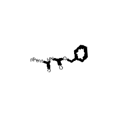 CCCCCC(=O)NC(=O)OCc1ccccc1